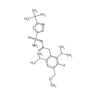 COCc1cc(C(C)C)c(CC(=O)N=S(N)(=O)c2cnc(C(C)(C)C)s2)c(C(C)C)c1F